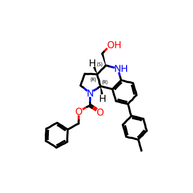 Cc1ccc(-c2ccc3c(c2)[C@H]2[C@H](CCN2C(=O)OCc2ccccc2)[C@@H](CO)N3)cc1